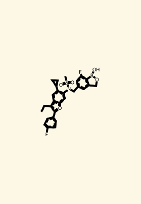 CCc1c(-c2ccc(F)cc2)oc2cc(N(Cc3cc(F)c4c(c3)COB4O)S(C)(=O)=O)c(C3CC3)cc12